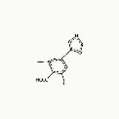 O=C(O)c1c(F)cc(-c2cnco2)cc1F